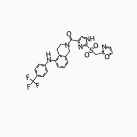 O=C(c1c[nH]c(S(=O)(=O)Cc2ncco2)n1)N1CCc2c(cccc2Nc2ccc(C(F)(F)F)cc2)C1